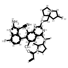 C=CC(=O)N1CCC(N(C)c2nc(OCC34CCCN3CC(F)C4)nc3c(F)c(-c4ccc(F)c5sc(N)c(C#N)c45)c(Cl)cc23)C1C